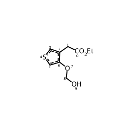 CCOC(=O)Cc1cscc1OCO